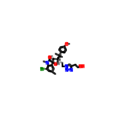 COc1ccc([Si](C)(C)[C@H]2[C@H](CCn3cc(CCO)nn3)O[C@@]3(C(=O)N(C)c4c(Br)cc(C)cc43)[C@@H]2C)cc1